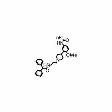 CCCC(=O)Nc1ccc(OC)c(C2CCN(CCCNC(=O)C(c3ccccc3)c3ccccc3)CC2)c1